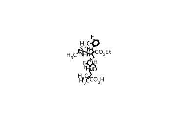 CCOC(=O)C1=C(CN2CC(F)(F)[C@@H]3[C@H]2CON3CCC(C)(C)C(=O)O)NC(c2nc(C)cs2)=N[C@H]1c1cccc(F)c1C